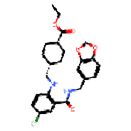 CCOC(=O)[C@H]1CC[C@H](CNc2ccc(Cl)cc2C(=O)NCc2ccc3c(c2)OCO3)CC1